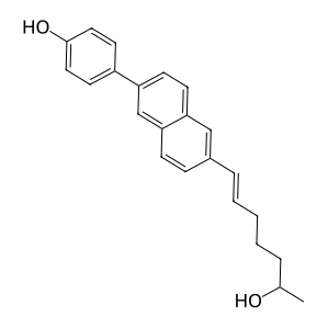 CC(O)CCCC=Cc1ccc2cc(-c3ccc(O)cc3)ccc2c1